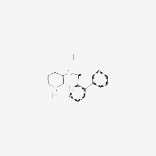 CN(C(=O)c1ncccc1-c1ccccc1)C1CCCNC1